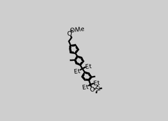 CCC(CC)(O[Si](C)(C)C)c1ccc(C(CC)(CC)c2ccc(-c3ccc(CCOOC)cc3)c(C)c2)cc1C